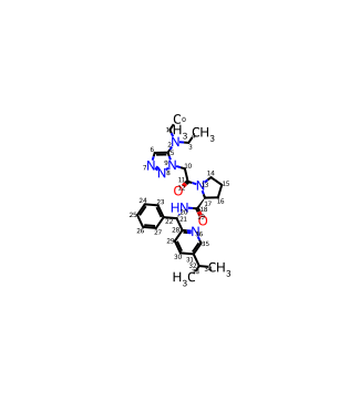 CCN(CC)c1cnnn1CC(=O)N1CCC[C@H]1C(=O)N[C@@H](c1ccccc1)c1ccc(C(C)C)cn1